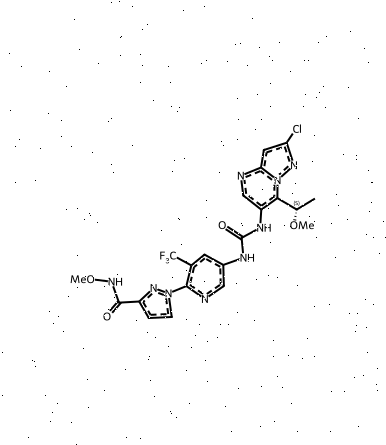 CONC(=O)c1ccn(-c2ncc(NC(=O)Nc3cnc4cc(Cl)nn4c3[C@H](C)OC)cc2C(F)(F)F)n1